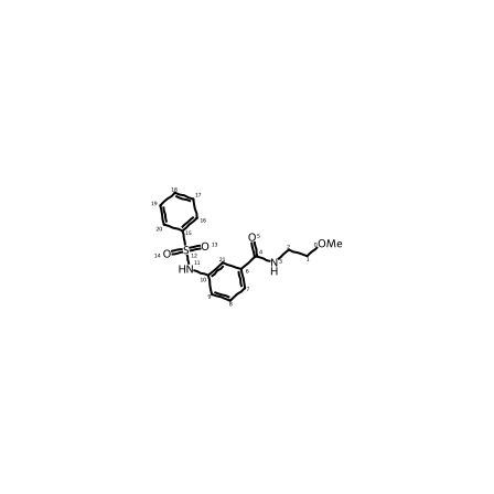 COCCNC(=O)c1cccc(NS(=O)(=O)c2ccccc2)c1